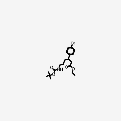 CCOC(=O)CC(CCCNC(=O)OC(C)(C)C)c1ccc(Br)cc1